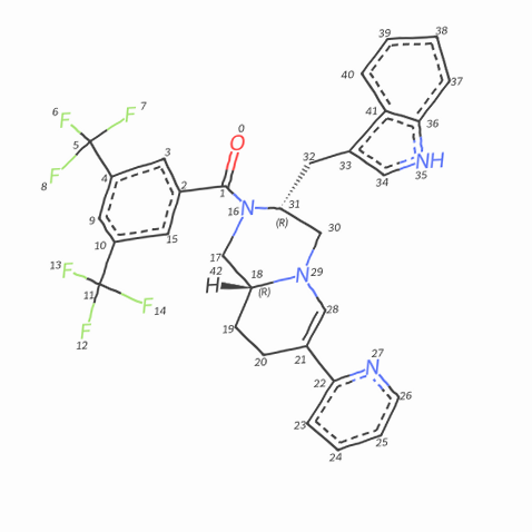 O=C(c1cc(C(F)(F)F)cc(C(F)(F)F)c1)N1C[C@H]2CCC(c3ccccn3)=CN2C[C@H]1Cc1c[nH]c2ccccc12